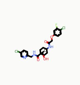 O=C(COc1ccc(Cl)c(F)c1)NC12CCC(C(=O)NCc3ccc(Cl)cn3)(CC1)C(O)C2